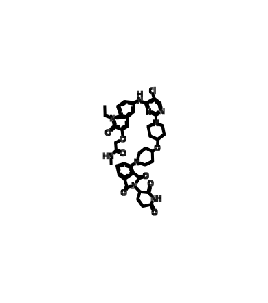 CCn1c(=O)c(OCC(=O)NC)cc2cc(Nc3nc(N4CCC(OC5CCN(c6cccc7c6C(=O)N(C6CCC(=O)NC6=O)C7=O)CC5)CC4)ncc3Cl)ccc21